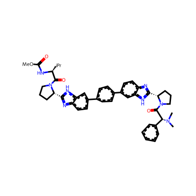 COC(=O)N[C@H](C(=O)N1CCC[C@H]1c1nc2ccc(-c3ccc(-c4ccc5nc([C@@H]6CCCN6C(=O)[C@@H](c6ccccc6)N(C)C)[nH]c5c4)cc3)cc2[nH]1)C(C)C